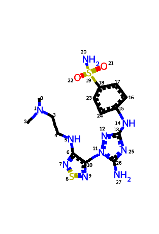 CN(C)CCNc1nsnc1-n1nc(Nc2ccc(S(N)(=O)=O)cc2)nc1N